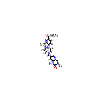 CCc1cc2ncc(CN3CCN(c4ccc(C(=O)NC)nc4C#N)[C@H]4C[C@H]43)cc2[nH]c1=O